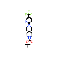 CC(C)(C)OC(=O)N1CCC2(CC1)CCN(c1ccc(C(F)(F)F)cn1)CC2